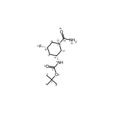 CC(C)(C)OC(=O)N[C@@H]1C[C@H](F)CN(C(N)=O)C1